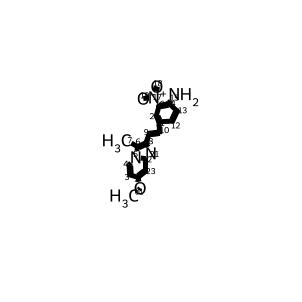 COc1ccn2c(C)c(C=Cc3ccc(N)c([N+](=O)[O-])c3)nc2c1